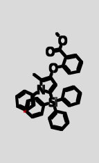 COC(=O)c1ccccc1Oc1cc([Si](c2ccccc2)(c2ccccc2)c2ccccc2)n(-c2ccccc2)c1C